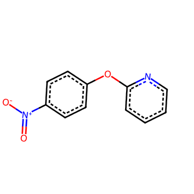 O=[N+]([O-])c1ccc(Oc2ccccn2)cc1